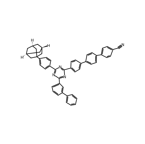 N#Cc1ccc(-c2ccc(-c3ccc(-c4nc(-c5ccc(C67C[C@H]8C[C@H](C6)C[C@@H](C7)C8)cc5)nc(-c5cccc(-c6ccccc6)c5)n4)cc3)cc2)cc1